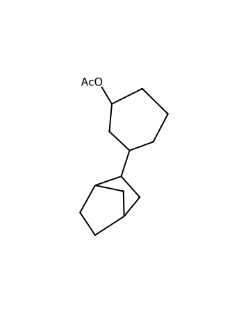 CC(=O)OC1CCCC(C2CC3CCC2C3)C1